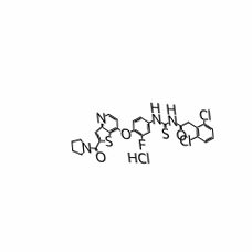 Cl.O=C(Cc1c(Cl)cccc1Cl)NC(=S)Nc1ccc(Oc2ccnc3cc(C(=O)N4CCCC4)sc23)c(F)c1